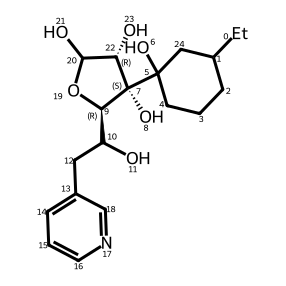 CCC1CCCC(O)([C@@]2(O)[C@@H](C(O)Cc3cccnc3)OC(O)[C@@H]2O)C1